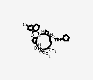 C[C@@H]1[C@@H](C)C/C=C/[C@H](OCCNc2ccccc2)[C@@H]2CC[C@H]2CN2C[C@@]3(CCCc4cc(Cl)ccc43)COc3ccc(cc32)C(=O)NS1(=O)=O